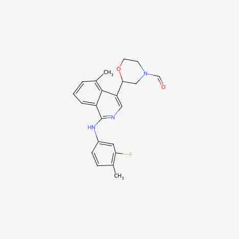 Cc1ccc(Nc2ncc(C3CN(C=O)CCO3)c3c(C)cccc23)cc1F